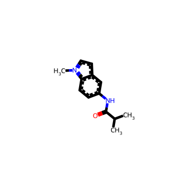 CC(C)C(=O)Nc1ccc2c(ccn2C)c1